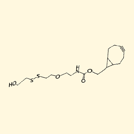 O=C(NCCOCCSSCCO)OCC1C2CCC#CCCC21